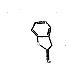 [Se]=C1Cc2ccccc2O1